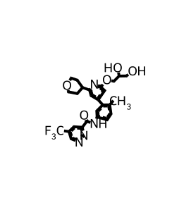 Cc1ccc(NC(=O)c2cc(C(F)(F)F)cnn2)cc1-c1cc(OCC(O)CO)nc(C2CCOCC2)c1